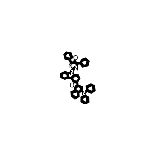 c1ccc(-c2nc(-n3c4ccccc4c4c5oc6c7ccccc7c(N(c7ccccc7)c7ccccc7)cc6c5ccc43)nc3c2oc2ccccc23)cc1